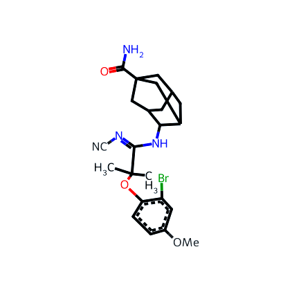 COc1ccc(OC(C)(C)C(=NC#N)NC2C3CC4CC2CC(C(N)=O)(C4)C3)c(Br)c1